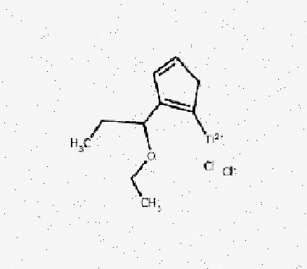 CCOC(CC)C1=[C]([Ti+2])CC=C1.[Cl-].[Cl-]